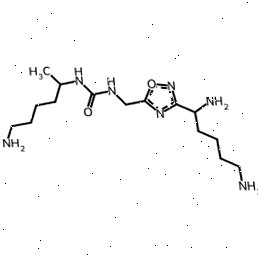 CC(CCCCN)NC(=O)NCc1nc(C(N)CCCCN)no1